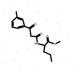 CCCC(NC(=O)CC(=O)c1cccc(C)c1)C(=O)OC